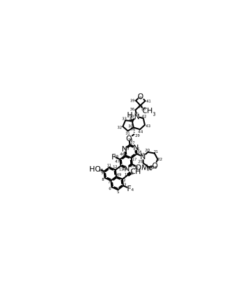 C#Cc1c(F)ccc2cc(O)cc(-c3nc(OC)c4c(N5CCCOCC5)nc(OC[C@]56CCC[C@H]5N(CC5(C)COC5)CCC6)nc4c3F)c12